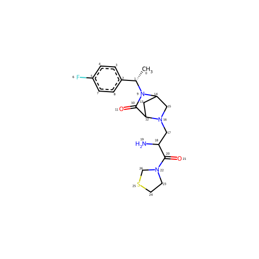 C[C@@H](c1ccc(F)cc1)N1C(=O)C2CC1CN2CC(N)C(=O)N1CCSC1